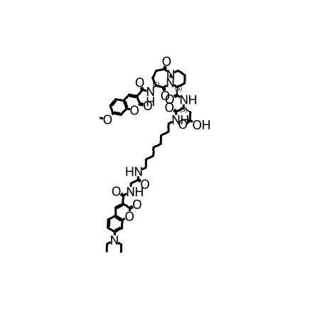 CCN(CC)c1ccc2cc(C(=O)NCC(=O)NCCCCCCCCNC(=O)[C@H](CC(=O)O)NC(=O)[C@@H]3CCCN4C(=O)CC[C@H](NC(=O)c5cc6ccc(OC)cc6oc5=O)C(=O)N34)c(=O)oc2c1